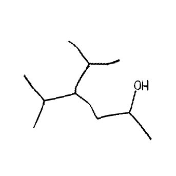 C[C](C)C(CC(C)O)[C](C)C